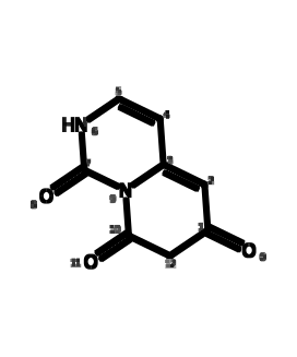 O=C1C=C2C=CNC(=O)N2C(=O)C1